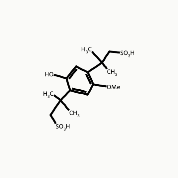 COc1cc(C(C)(C)CS(=O)(=O)O)c(O)cc1C(C)(C)CS(=O)(=O)O